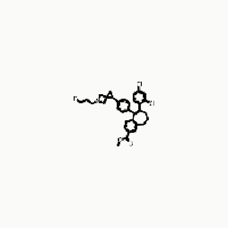 COC(=O)c1ccc2c(c1)CCCC(c1ccc(Cl)cc1Cl)=C2c1ccc(C2CC23CN(CCCF)C3)cc1